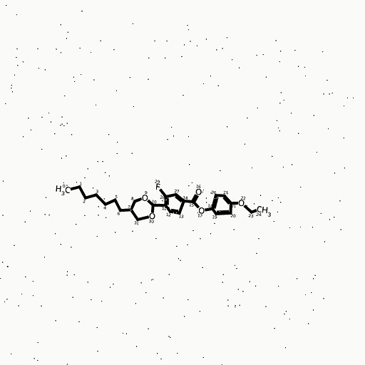 CCCCCCCC1COC(c2ccc(C(=O)Oc3ccc(OCC)cc3)cc2F)OC1